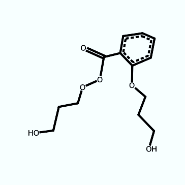 O=C(OOCCCO)c1ccccc1OCCCO